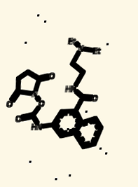 CCN(CC)CCNC(=O)c1cc(NC(=O)ON2C(=O)CCC2=O)cc2ccccc12